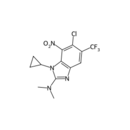 CN(C)c1nc2cc(C(F)(F)F)c(Cl)c([N+](=O)[O-])c2n1C1CC1